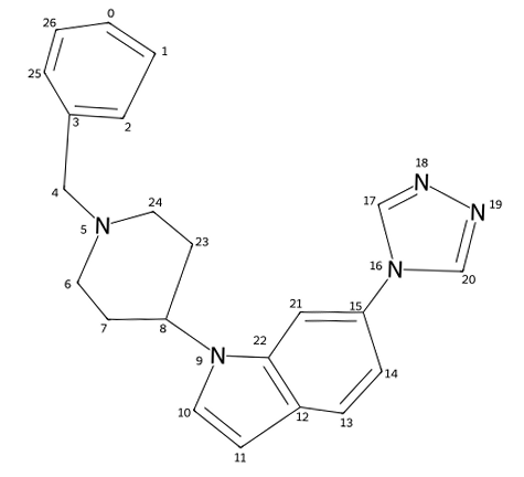 c1ccc(CN2CCC(n3ccc4ccc(-n5cnnc5)cc43)CC2)cc1